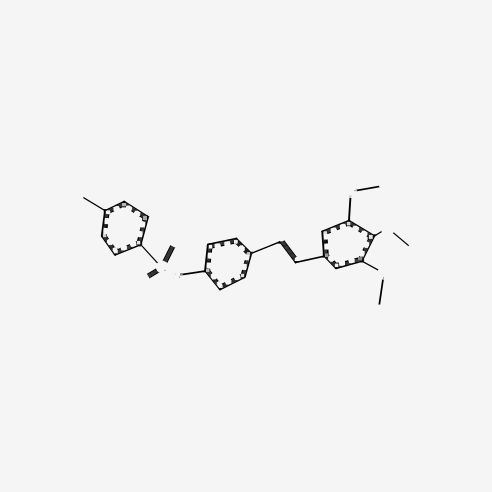 COc1cc(C=Cc2ccc(NS(=O)(=O)c3ccc(C)cc3)cc2)cc(OC)c1OC